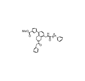 COC(=O)c1cccc(-c2ccc(CNC(=O)[C@H]3C[C@@H]3c3ccccc3)c3c2CCN(C(=O)Cc2ccccc2)C3)c1